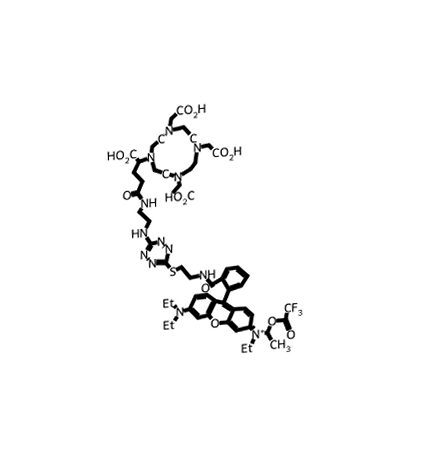 CCN(CC)c1ccc2c(-c3ccccc3C(=O)NCCSc3nnc(NCCNC(=O)CCC(C(=O)O)N4CCN(CC(=O)O)CCN(CC(=O)O)CCN(CC(=O)O)CC4)nn3)c3ccc(=[N+](CC)C(C)OC(=O)C(F)(F)F)cc-3oc2c1